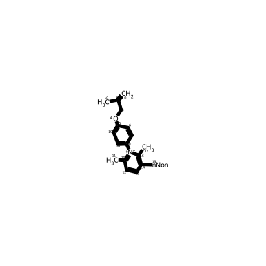 C=C(C)COc1ccc(-[n+]2c(C)ccc(CCCCCCCCC)c2C)cc1